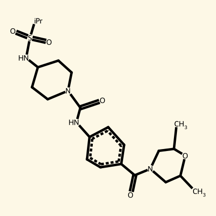 CC1CN(C(=O)c2ccc(NC(=O)N3CCC(NS(=O)(=O)C(C)C)CC3)cc2)CC(C)O1